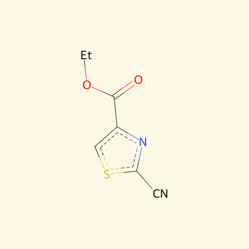 CCOC(=O)c1csc(C#N)n1